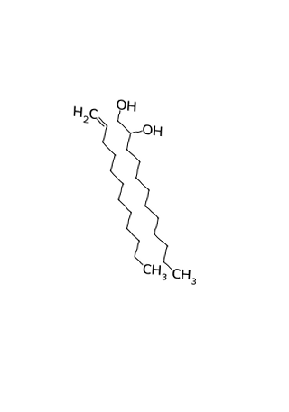 C=CCCCCCCCCCC.CCCCCCCCCCC(O)CO